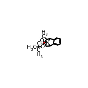 CC1CCC2c3ccccc3C1N2C(=O)OC(C)(C)C